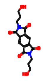 O=c1c2cc3c(=O)n(CCCO)c(=O)c3cc2c(=O)n1CCCO